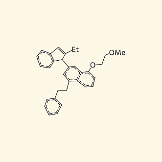 CCC1=Cc2ccccc2C1c1cc(CCc2ccccc2)c2cccc(OCCOC)c2c1